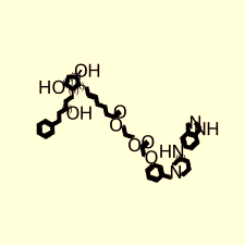 O=C(CCCC=CC[C@@H]1[C@@H](CC[C@@H](O)CCc2ccccc2)[C@H](O)C[C@H]1O)OCCCOC(=O)COc1cccc(CN2CCC[C@H](Nc3ccc4[nH]ncc4c3)C2)c1